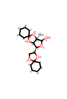 OC1O[C@@H](C2COC3(CCCCC3)O2)C2OC3(CCCCC3)O[C@@H]12